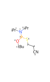 CC(C)N(C(C)C)P(OC(C)(C)C)SCCC#N